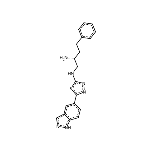 N[C@H](CCc1ccccc1)CNc1nnc(-c2ccc3[nH]ncc3c2)s1